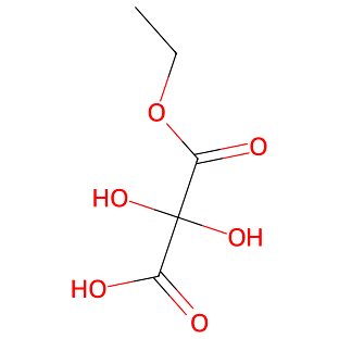 CCOC(=O)C(O)(O)C(=O)O